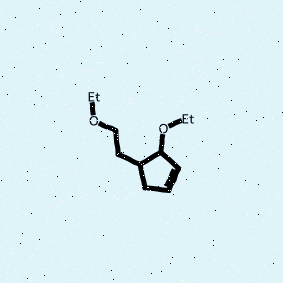 CCOCCC1CC=CC1OCC